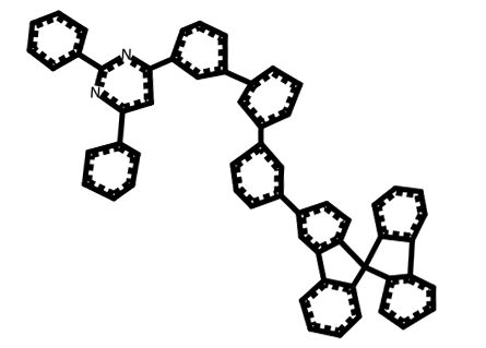 c1ccc(-c2cc(-c3cccc(-c4cccc(-c5cccc(-c6ccc7c(c6)-c6ccccc6C76c7ccccc7-c7ccccc76)c5)c4)c3)nc(-c3ccccc3)n2)cc1